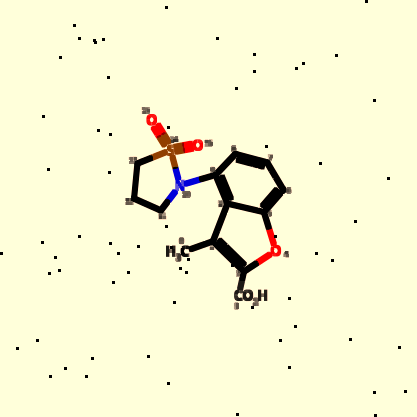 Cc1c(C(=O)O)oc2cccc(N3CCCS3(=O)=O)c12